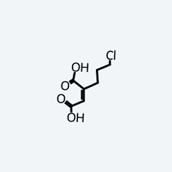 O=C(O)C=C(CCCCl)C(=O)O